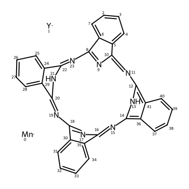 [Mn].[Y].c1ccc2c(c1)-c1nc-2nc2[nH]c(nc3nc(nc4[nH]c(n1)c1ccccc41)-c1ccccc1-3)c1ccccc21